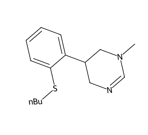 CCCCSc1ccccc1C1CN=CN(C)C1